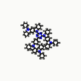 c1ccc(-n2c3ccccc3c3cc4c(cc32)c2ccccc2n4-c2nc(-c3ccc(-n4c5ccccc5c5ccc6c(c7ccccc7n6-c6ccccc6)c54)cc3)nc(-n3c4ccccc4c4cc5c(cc43)c3ccccc3n5-c3ccccc3)n2)cc1